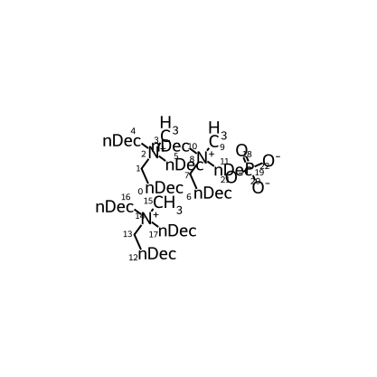 CCCCCCCCCCC[N+](C)(CCCCCCCCCC)CCCCCCCCCC.CCCCCCCCCCC[N+](C)(CCCCCCCCCC)CCCCCCCCCC.CCCCCCCCCCC[N+](C)(CCCCCCCCCC)CCCCCCCCCC.O=P([O-])([O-])[O-]